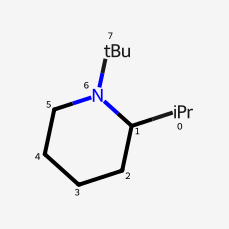 CC(C)C1CCCCN1C(C)(C)C